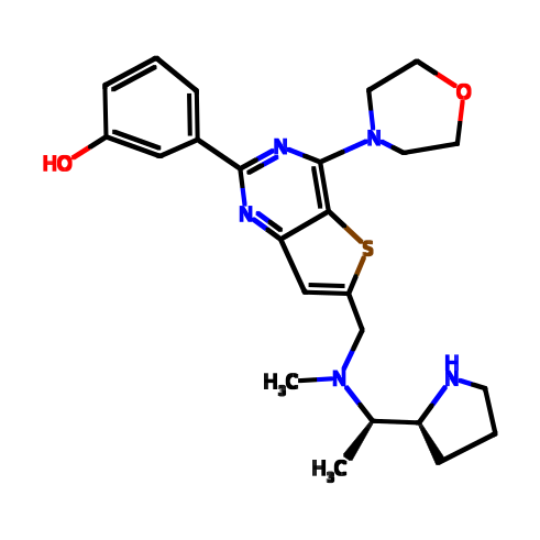 C[C@H]([C@@H]1CCCN1)N(C)Cc1cc2nc(-c3cccc(O)c3)nc(N3CCOCC3)c2s1